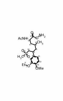 CCOc1cc(C(CC(C)C[C@H](NC(C)=O)C(=O)ON)CS(C)(=O)=O)ccc1OC